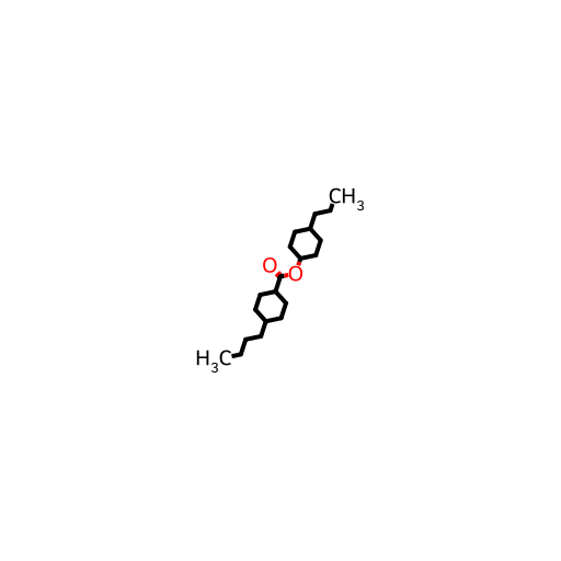 CCCCC1CCC(C(=O)OC2CCC(CCC)CC2)CC1